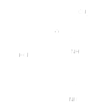 C=CC(=O)Nc1cccc2c1CNC2.Cl